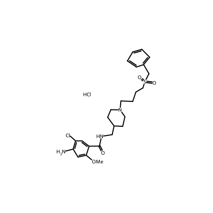 COc1cc(N)c(Cl)cc1C(=O)NCC1CCN(CCCCS(=O)(=O)Cc2ccccc2)CC1.Cl